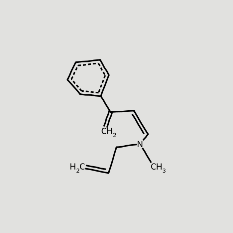 C=CCN(C)/C=C\C(=C)c1ccccc1